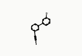 CC#Cc1cccc(-c2cccc(Br)c2)c1